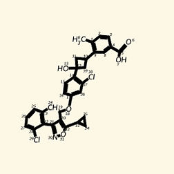 Cc1ccc(C(=O)O)cc1C1CC(O)(c2ccc(OCc3c(-c4c(C)cccc4Cl)noc3C3CC3)cc2Cl)C1